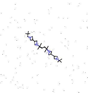 CC(C)(C)CN1CC(C2CN(C(C)(C)CCC(C)(C)N3CC(C4CN(C(C)(C)C)C4)C3)C2)C1